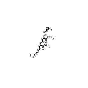 C=C=CC=CCC(CCCC(CCCCC)C(N)=O)C(N)=O